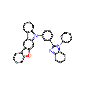 c1ccc(-n2c(-c3cccc(-n4c5ccccc5c5cc6c(cc54)oc4ccccc46)c3)nc3ccccc32)cc1